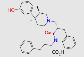 C[C@H]1CN(C[C@H](Cc2ccccc2)C(=O)N[C@@H](CCc2ccccc2)C(=O)O)CC[C@@]1(C)c1cccc(O)c1